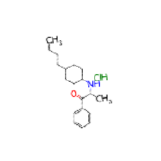 CCCCC1CCC(NC(C)C(=O)c2ccccc2)CC1.Cl